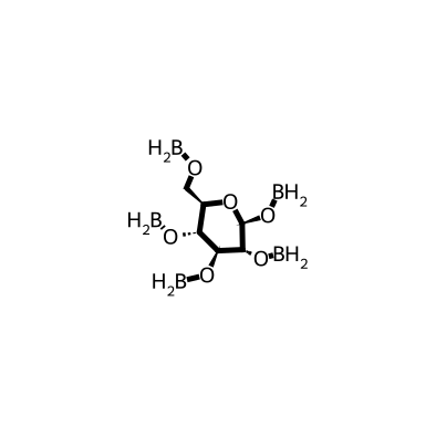 BOC[C@H]1O[C@@H](OB)[C@H](OB)[C@@H](OB)[C@@H]1OB